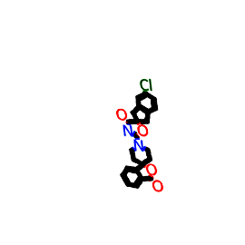 O=C1OC2(CCN(C3=NC(=O)C4(Cc5ccc(Cl)cc5C4)O3)CC2)c2ccccc21